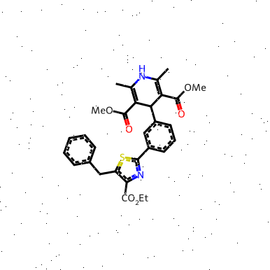 CCOC(=O)c1nc(-c2cccc(C3C(C(=O)OC)=C(C)NC(C)=C3C(=O)OC)c2)sc1Cc1ccccc1